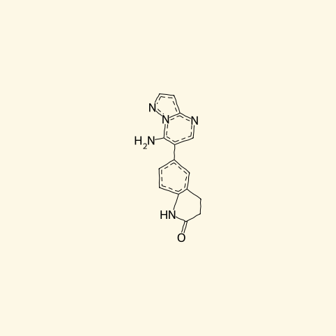 Nc1c(-c2ccc3c(c2)CCC(=O)N3)cnc2ccnn12